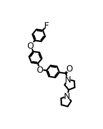 O=C(c1ccc(Oc2ccc(Oc3ccc(F)cc3)cc2)cc1)N1CCC(N2CCCC2)C1